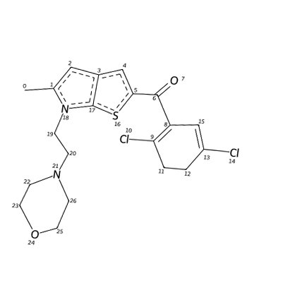 Cc1cc2cc(C(=O)C3=C(Cl)CCC(Cl)=C3)sc2n1CCN1CCOCC1